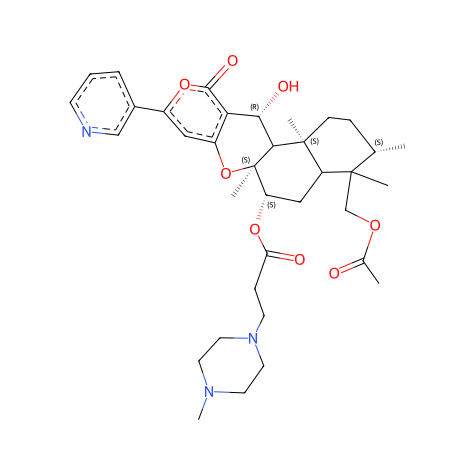 CC(=O)OCC1(C)C2C[C@H](OC(=O)CCN3CCN(C)CC3)[C@@]3(C)Oc4cc(-c5cccnc5)oc(=O)c4[C@H](O)C3[C@@]2(C)CC[C@@H]1C